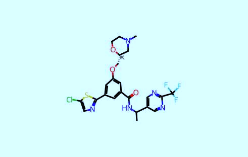 CC(NC(=O)c1cc(OC[C@H]2CN(C)CCO2)cc(-c2ncc(Cl)s2)c1)c1cnc(C(F)(F)F)nc1